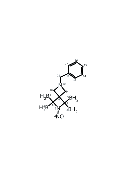 BC1(B)N(N=O)C(B)(B)C12CN(Cc1ccccc1)C2